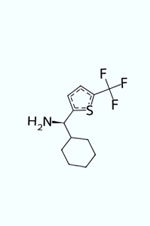 N[C@@H](c1ccc(C(F)(F)F)s1)C1CCCCC1